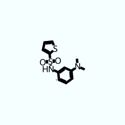 CN(C)c1cc[c]c(NS(=O)(=O)c2cccs2)c1